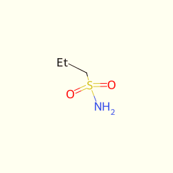 [CH2]CCS(N)(=O)=O